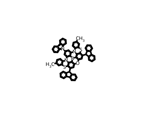 Cc1ccc2c(c1)Sc1c(C3c4ccccc4-c4ccccc43)cc3c4c1N2c1cc(-n2c5ccccc5c5ccccc52)cc2c1B4c1c(cc(C4c5ccccc5-c5ccccc54)c4c1N2c1ccc(C)cc1S4)O3